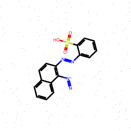 [N]=[N+]c1c(N=Nc2ccccc2S(=O)(=O)O)ccc2ccccc12